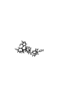 COc1cnc(C)c(F)c1-c1cc(C)ncc1C(=O)Nc1nnc(O[C@@H]2C[C@@H]3C[C@H]2C[C@H]3O)s1